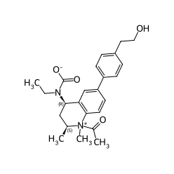 CCN(C(=O)[O-])[C@@H]1C[C@H](C)[N+](C)(C(C)=O)c2ccc(-c3ccc(CCO)cc3)cc21